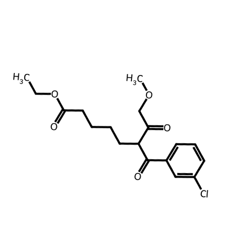 CCOC(=O)CCCCC(C(=O)COC)C(=O)c1cccc(Cl)c1